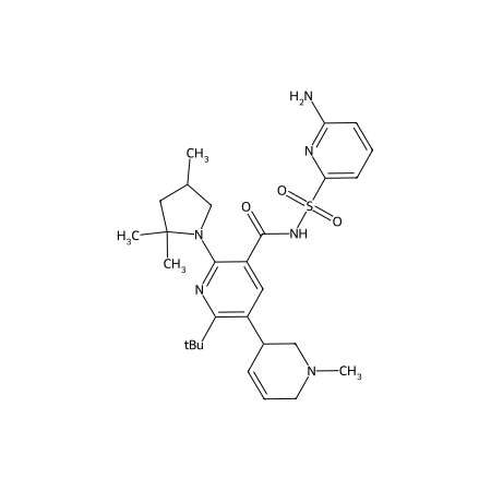 CC1CN(c2nc(C(C)(C)C)c(C3C=CCN(C)C3)cc2C(=O)NS(=O)(=O)c2cccc(N)n2)C(C)(C)C1